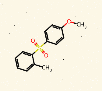 COc1ccc(S(=O)(=O)c2ccccc2C)cc1